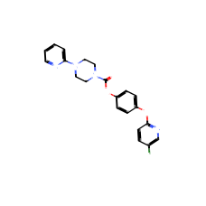 O=C(Oc1ccc(Oc2ccc(Cl)cn2)cc1)N1CCN(c2ccccn2)CC1